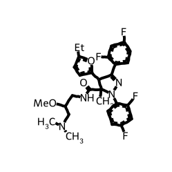 CCc1ccc(C2C(c3ccc(F)cc3F)=NN(c3ccc(F)cc3F)C2(C)C(=O)NCC(CN(C)C)OC)o1